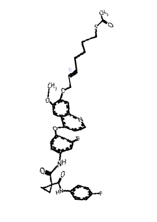 COc1cc2c(Oc3ccc(NC(=O)C4(C(=O)Nc5ccc(F)cc5)CC4)cc3F)ccnc2cc1OC/C=C/CCCCSC(C)=O